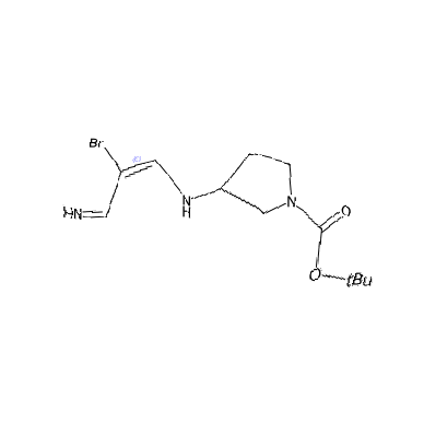 CC(C)(C)OC(=O)N1CCC(N/C=C(/Br)C=N)C1